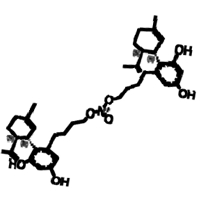 C=C(C)[C@H]1CCC(C)=C[C@@H]1c1c(O)cc(O)cc1CCCCO[N+](=O)OCCCCc1cc(O)cc(O)c1[C@H]1C=C(C)CC[C@@H]1C(=C)C